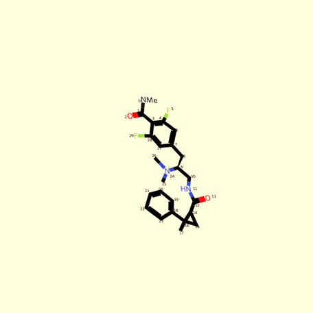 CNC(=O)c1c(F)cc(C[C@@H](CNC(=O)C2CC2(C)c2ccccc2)N(C)C)cc1F